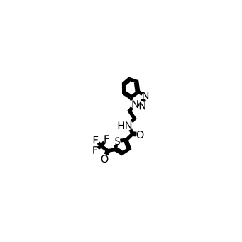 O=C(NCCn1nnc2ccccc21)c1ccc(C(=O)C(F)(F)F)s1